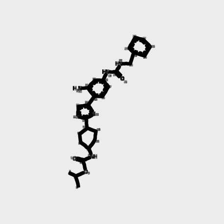 CC(C)OC(=O)NC1CCC(c2ncc(-c3ccc(NC(=O)NCc4ccccc4)cc3N)s2)CC1